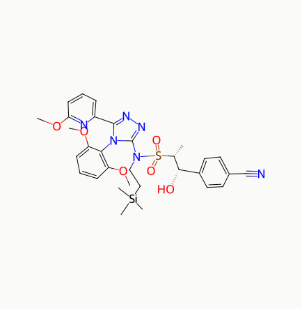 COc1cccc(-c2nnc(N(CC[Si](C)(C)C)S(=O)(=O)[C@H](C)[C@@H](O)c3ccc(C#N)cc3)n2-c2c(OC)cccc2OC)n1